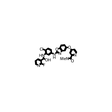 CNC(=O)c1cc(Oc2ccc3oc(Nc4ccc(Cl)c(NC(O)c5cccnc5F)c4)nc3c2)ccn1